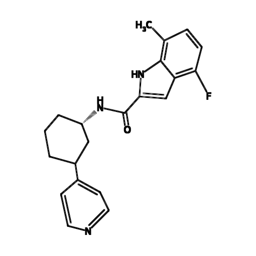 Cc1ccc(F)c2cc(C(=O)N[C@H]3CCCC(c4ccncc4)C3)[nH]c12